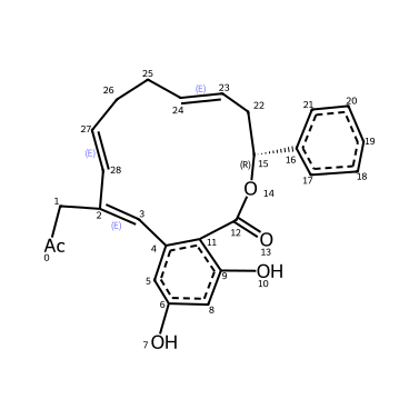 CC(=O)CC1=C\c2cc(O)cc(O)c2C(=O)O[C@@H](c2ccccc2)C/C=C/CC\C=C\1